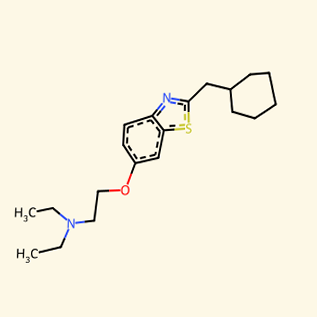 CCN(CC)CCOc1ccc2nc(CC3CCCCC3)sc2c1